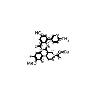 COc1c(F)cc(-n2c(C3CCCN(C(=O)OC(C)(C)C)C3)nc3c(-c4ccc(C)nc4)cc(C#N)cc3c2=O)cc1F